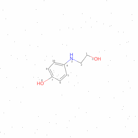 OCCNc1ccc(O)cc1